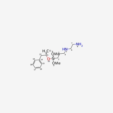 CO[Si](CCCNCCN)(OC)OC(C)Cc1ccccc1